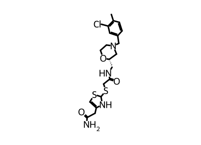 Cc1ccc(CN2CCO[C@@H](CNC(=O)CSC3NC(CC(N)=O)=CS3)C2)cc1Cl